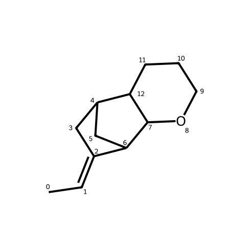 CC=C1CC2CC1C1OCCCC21